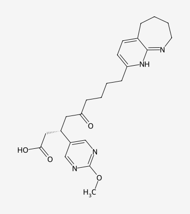 COc1ncc([C@H](CC(=O)O)CC(=O)CCCCC2=CC=C3CCCCN=C3N2)cn1